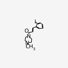 CN1CCN(C(=O)/C=C/c2ccccc2I)CC1